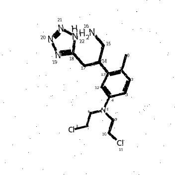 Cc1ccc(N(CCCl)CCCl)cc1C(CN)Cc1nnn[nH]1